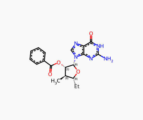 CC[C@H]1O[C@@H](n2cnc3c(=O)[nH]c(N)nc32)[C@@H](OC(=O)c2ccccc2)[C@@H]1C